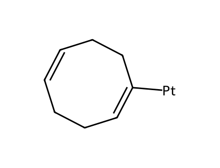 [Pt][C]1=CCCC=CCC1